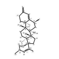 C=C1C=C2[C@@H](C)C[C@@H]3[C@H](CC[C@@]4(C)[C@H]3CC[C@]4(O)/C(C)=N\N(C)C)[C@@]2(C)CC1